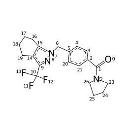 O=C(c1ccc(Cn2nc(C(F)(F)F)c3c2CCCC3)cc1)N1CCCC1